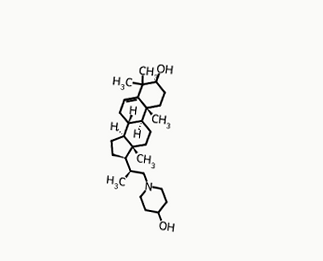 C[C@H](CN1CCC(O)CC1)[C@H]1CC[C@H]2[C@@H]3CC=C4C(C)(C)C(O)CC[C@]4(C)[C@H]3CC[C@]12C